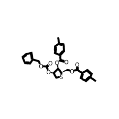 Cc1ccc(C(=O)OC[C@H]2SC[C@@H](OC(=O)OCc3ccccc3)[C@H]2OC(=O)c2ccc(C)cc2)cc1